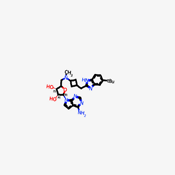 CN(CC1O[C@@H](n2ccc3c(N)ncnc32)[C@H](O)[C@@H]1O)C1CC(Cc2nc3cc(C(C)(C)C)ccc3[nH]2)C1